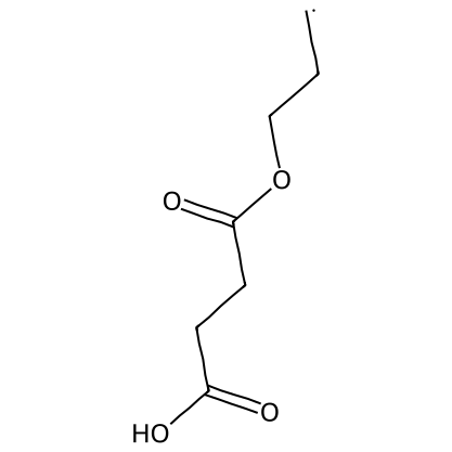 [CH2]CCOC(=O)CCC(=O)O